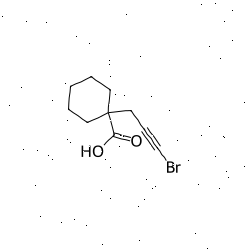 O=C(O)C1(CC#CBr)CCCCC1